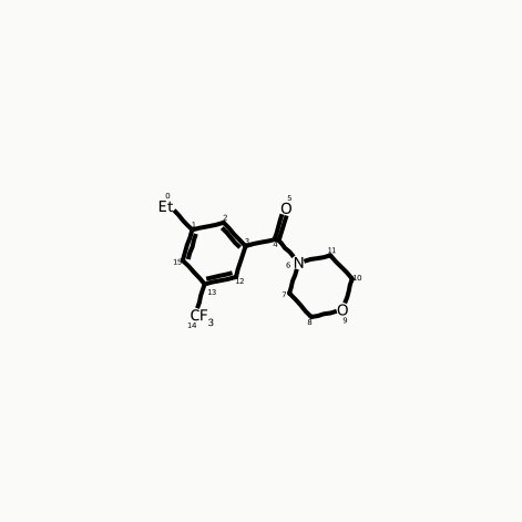 CCc1cc(C(=O)N2CCOCC2)cc(C(F)(F)F)c1